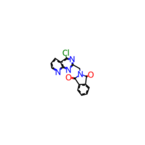 O=C1c2ccccc2C(=O)N1Cc1nc(Cl)c2cccnc2n1